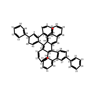 C1=C(c2ccccc2)C(c2c3ccccc3c(-c3ccc(-c4ccccc4)cc3-c3ccccc3)c3cc4ccccc4cc23)=CCC1c1ccccc1